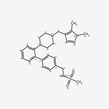 Cc1c(CN2CCN(c3nccnc3-c3ccc(CNS(C)(=O)=O)cc3)CC2)cnn1C